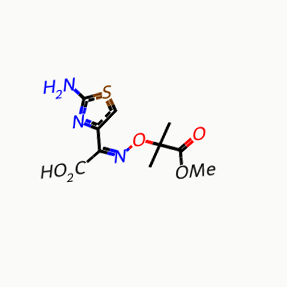 COC(=O)C(C)(C)O/N=C(/C(=O)O)c1csc(N)n1